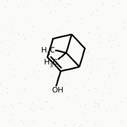 CC1(C)C2CC=C(O)C1C2